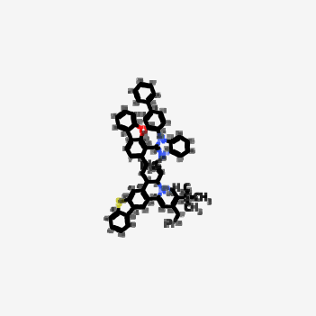 C=CC1C(CCc2ccc3c(oc4ccccc43)c2-c2n(-c3ccc(-c4ccccc4)cc3)c3ccccc3[n+]2C)c2cc3sc4ccccc4c3cc2-c2cc(CC(C)C)c([Si](C)(C)C)c[n+]21